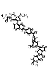 CCc1nc(-c2cccc3cc(-c4ccc(C(=O)NCc5cc(Cl)cc(-c6cccc7c6CN(C6CCC(=O)NC6=O)C7=O)c5)nc4)ncc23)c2n1CCN(C(C)=O)C2